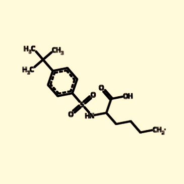 [CH2]CCCC(NS(=O)(=O)c1ccc(C(C)(C)C)cc1)C(=O)O